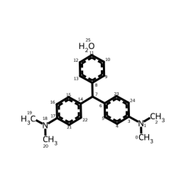 CN(C)c1ccc(C(c2ccccc2)c2ccc(N(C)C)cc2)cc1.O